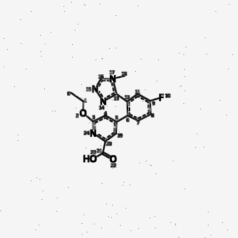 CCOc1cc(-c2ccc(F)cc2-c2nncn2C)cc(C(=O)O)n1